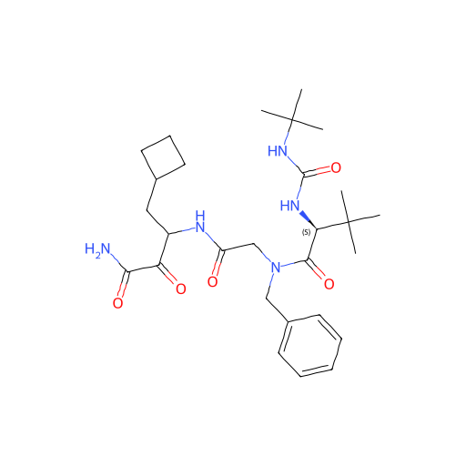 CC(C)(C)NC(=O)N[C@H](C(=O)N(CC(=O)NC(CC1CCC1)C(=O)C(N)=O)Cc1ccccc1)C(C)(C)C